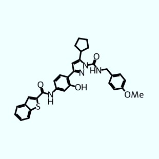 COc1ccc(CNC(=O)n2nc(-c3ccc(NC(=O)c4cc5ccccc5s4)cc3O)cc2C2CCCC2)cc1